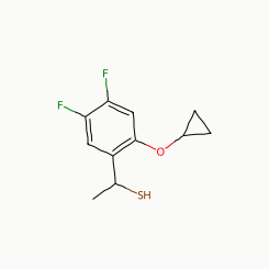 CC(S)c1cc(F)c(F)cc1OC1CC1